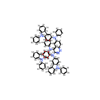 c1ccc(N(c2ccc3nnc(N(c4ccccc4)c4ccc5c(c4)c4ccccc4n5-c4ccccc4)c(N(c4ccccc4)c4ccc5c(c4)c4ccccc4n5-c4ccccc4)c3c2)c2ccc3c(c2)c2ccccc2n3-c2ccccc2)cc1